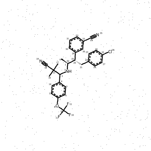 C[C@H](NC(c1ccc(OC(F)(F)F)cc1)C(C)(C)C#N)[C@@H](Cc1ccc(Cl)cc1)c1cccc(C#N)c1